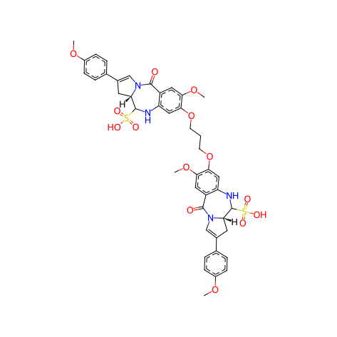 COc1ccc(C2=CN3C(=O)c4cc(OC)c(OCCCOc5cc6c(cc5OC)C(=O)N5C=C(c7ccc(OC)cc7)C[C@H]5C(S(=O)(=O)O)N6)cc4NC(S(=O)(=O)O)[C@@H]3C2)cc1